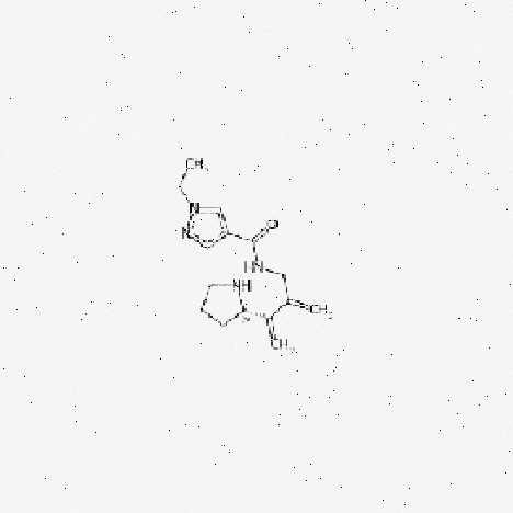 C=C(CNC(=O)c1cnn(CC)c1)C(=C)[C@@H]1CCCN1